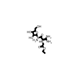 CCOC(=O)CNC(C(=O)N(N)C1OC(CO)C(O)C1O)=C(N)N